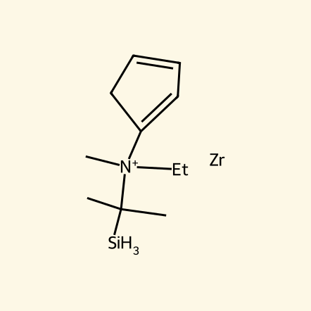 CC[N+](C)(C1=CC=CC1)C(C)(C)[SiH3].[Zr]